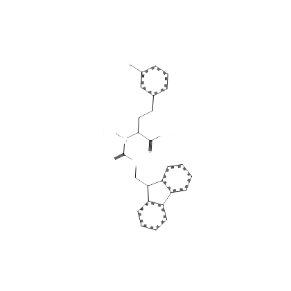 CN(C(=O)OCC1c2ccccc2-c2ccccc21)C(CCc1cccc(Cl)c1)C(=O)O